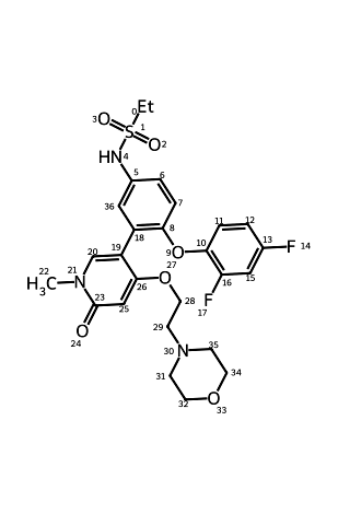 CCS(=O)(=O)Nc1ccc(Oc2ccc(F)cc2F)c(-c2cn(C)c(=O)cc2OCCN2CCOCC2)c1